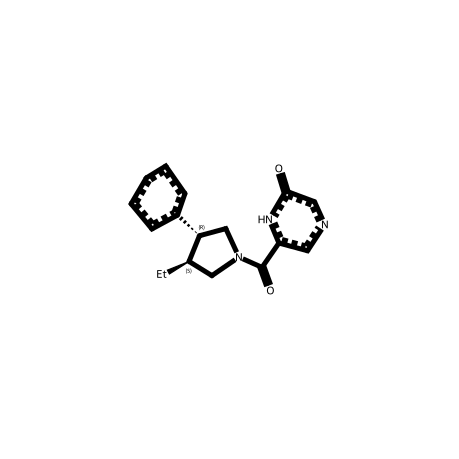 CC[C@@H]1CN(C(=O)c2cncc(=O)[nH]2)C[C@H]1c1ccccc1